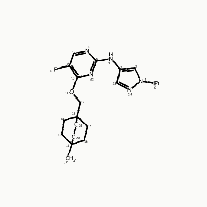 CC(C)n1cc(Nc2ncc(F)c(OCC34CCC(C)(CC3)CC4)n2)cn1